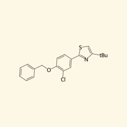 CC(C)(C)c1csc(-c2ccc(OCc3ccccc3)c(Cl)c2)n1